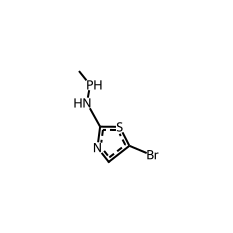 CPNc1ncc(Br)s1